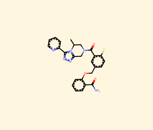 CC1CN(C(=O)c2cc(COc3ccccc3C(N)=O)ccc2F)Cc2nnc(-c3ccccn3)n21